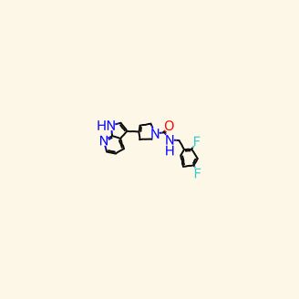 O=C(NCc1ccc(F)cc1F)N1CC=C(c2c[nH]c3ncccc23)CC1